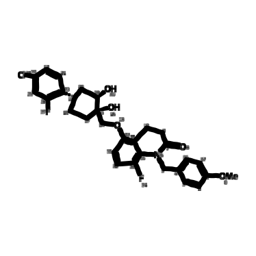 COc1ccc(CN2C(=O)CCc3c(OC[C@]4(O)CC[C@H](c5ccc(Cl)cc5F)C[C@H]4O)ccc(F)c32)cc1